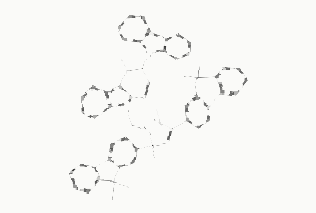 CC1c2c(n(CN3NC(c4ccc5c(c4)C(C)(C)c4ccccc4-5)=CC3(C)c3ccc4c(c3)C(C)(C)c3ccccc3-4)c3ccccc23)C=CC1n1c2ccccc2c2ccccc21